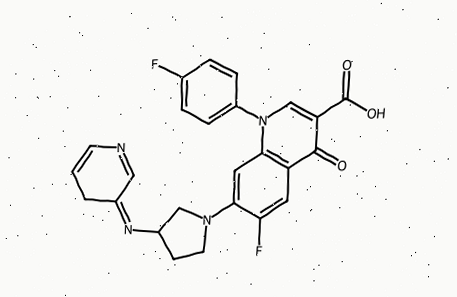 O=C(O)c1cn(-c2ccc(F)cc2)c2cc(N3CCC(N=C4C=NC=CC4)C3)c(F)cc2c1=O